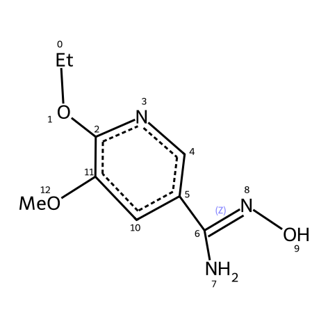 CCOc1ncc(/C(N)=N/O)cc1OC